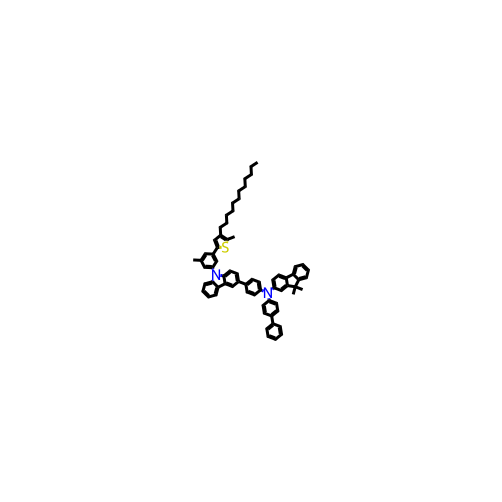 CCCCCCCCCCCCc1cc(-c2cc(C)cc(-n3c4ccccc4c4cc(-c5ccc(N(c6ccc(-c7ccccc7)cc6)c6ccc7c(c6)C(C)(C)c6ccccc6-7)cc5)ccc43)c2)sc1C